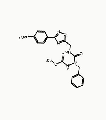 CCCCCCCCCCc1ccc(-c2noc(CNC(=O)[C@H](Cc3ccccc3)NC(=O)OC(C)(C)C)n2)cc1